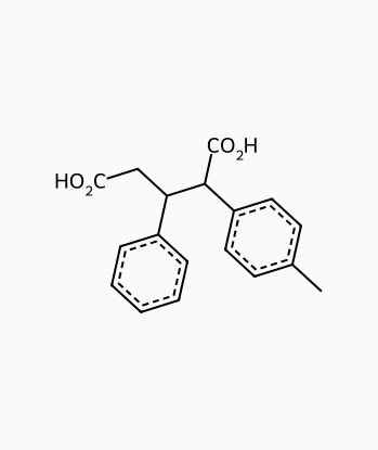 Cc1ccc(C(C(=O)O)C(CC(=O)O)c2ccccc2)cc1